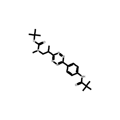 CC(CN(C)C(=O)OC(C)(C)C)c1nnc(-c2ccc(NC(=O)C(C)(C)C)cc2)nn1